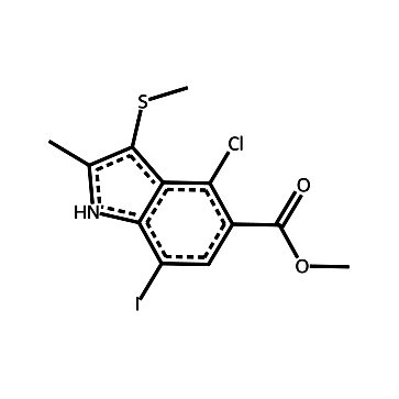 COC(=O)c1cc(I)c2[nH]c(C)c(SC)c2c1Cl